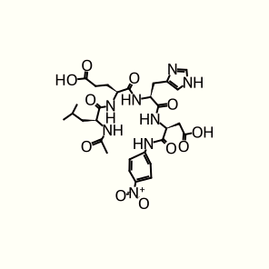 CC(=O)N[C@@H](CC(C)C)C(=O)N[C@@H](CCC(=O)O)C(=O)N[C@@H](Cc1c[nH]cn1)C(=O)N[C@@H](CC(=O)O)C(=O)Nc1ccc([N+](=O)[O-])cc1